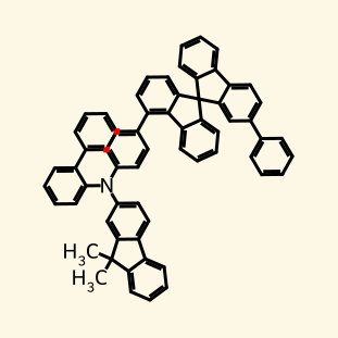 CC1(C)c2ccccc2-c2ccc(N(c3ccc(-c4cccc5c4-c4ccccc4C54c5ccccc5-c5ccc(-c6ccccc6)cc54)cc3)c3ccccc3-c3ccccc3)cc21